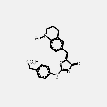 CC(C)N1CCCc2cc(/C=C3\SC(Nc4ccc(CC(=O)O)cc4)=NC3=O)ccc21